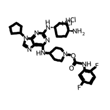 Cl.Cl.N[C@H]1CC[C@H](Nc2nc(NC3CCN(OC(=O)Nc4cc(F)ccc4F)CC3)c3ncn(C4CCCC4)c3n2)CC1